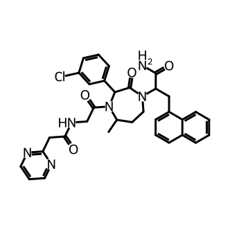 CC1CCN(C(Cc2cccc3ccccc23)C(N)=O)C(=O)C(c2cccc(Cl)c2)N1C(=O)CNC(=O)Cc1ncccn1